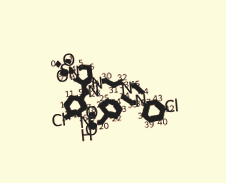 CS(=O)(=O)N1CCc2c(c(-c3ccc(Cl)c(NS(=O)(=O)Cc4ccccc4)c3)nn2CCCN2CCN(c3cccc(Cl)c3)CC2)C1